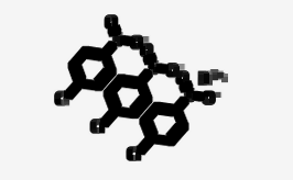 O=S([O-])c1ccc(Cl)cc1.O=S([O-])c1ccc(Cl)cc1.O=S([O-])c1ccc(Cl)cc1.[Bi+3]